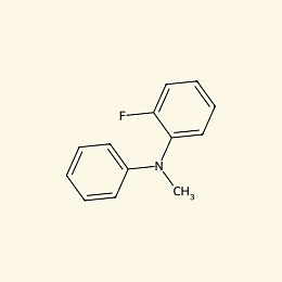 CN(c1ccccc1)c1ccccc1F